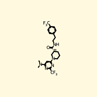 CN(C)c1cc(N2CCC[C@@H](C(=O)NCCc3ccc(C(F)(F)F)cc3)C2)nc(C(F)(F)F)n1